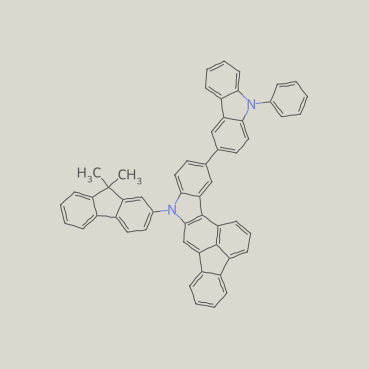 CC1(C)c2ccccc2-c2ccc(-n3c4ccc(-c5ccc6c(c5)c5ccccc5n6-c5ccccc5)cc4c4c5cccc6c5c(cc43)-c3ccccc3-6)cc21